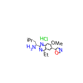 CCc1nc(C(N)CC(C)C)nc2cc(OC)c(-c3cnco3)cc12.Cl